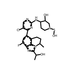 CC(O)c1nc2c(F)cc(-c3nc(NC4CCN(SO)CC4O)ncc3Cl)c3c2n1C(C)CC3